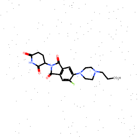 O=C(O)CCN1CCN(c2cc3c(cc2F)C(=O)N(C2CCC(=O)NC2=O)C3=O)CC1